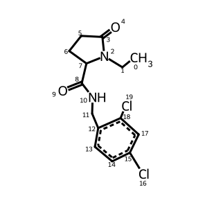 CCN1C(=O)CCC1C(=O)NCc1ccc(Cl)cc1Cl